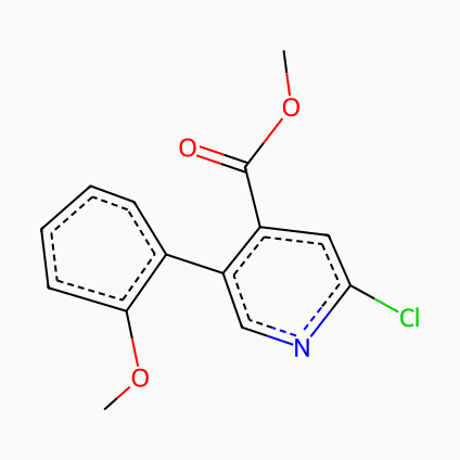 COC(=O)c1cc(Cl)ncc1-c1ccccc1OC